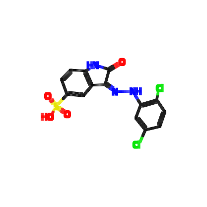 O=C1Nc2ccc(S(=O)(=O)O)cc2C1=NNc1cc(Cl)ccc1Cl